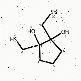 OC1(CS)CCCC1(O)CS